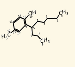 CCCCCC(CCC)c1cc(C)ccc1O